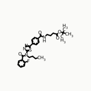 CCCCN(C(=O)c1ccccc1F)c1nnc(-c2ccc(C(=O)NCCCC(=O)OC(C)(C)C)cc2)s1